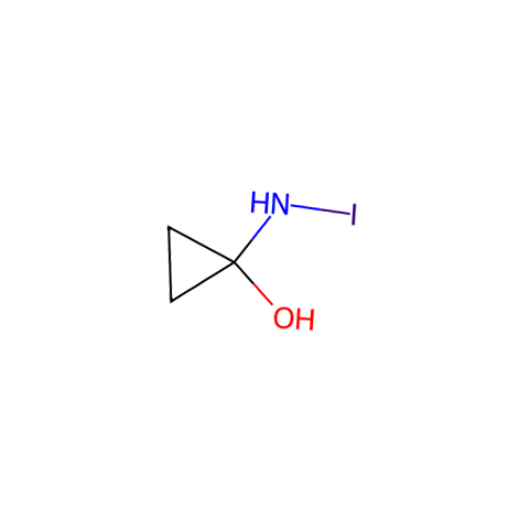 OC1(NI)CC1